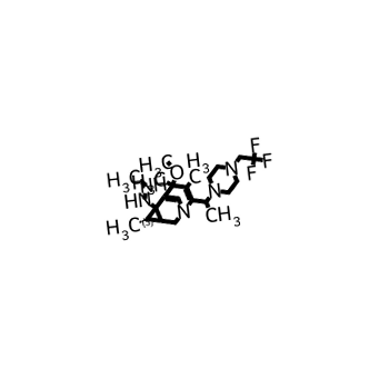 CNNC12C3=CN(CC1[C@@H]2C)C(C(C)N1CCN(CC(F)(F)F)CC1)=C(C)C3(C)OC